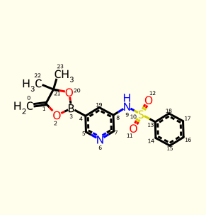 C=C1OB(c2cncc(NS(=O)(=O)c3ccccc3)c2)OC1(C)C